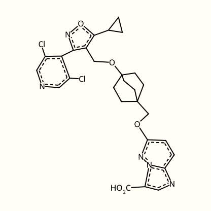 O=C(O)c1cnc2ccc(OCC34CCC(OCc5c(-c6c(Cl)cncc6Cl)noc5C5CC5)(CC3)CC4)nn12